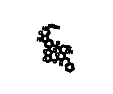 CCCCCCCCCNC=C1C(=O)Nc2ccc(S(=O)(=O)N(CC(C)C)CC(O)C(Cc3ccccc3)NC(=O)OC3COC4OCCC34)cc21